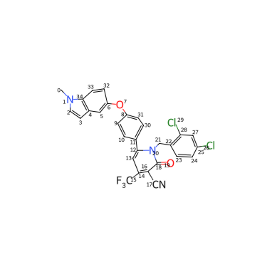 Cn1ccc2cc(Oc3ccc(-c4cc(C(F)(F)F)c(C#N)c(=O)n4Cc4ccc(Cl)cc4Cl)cc3)ccc21